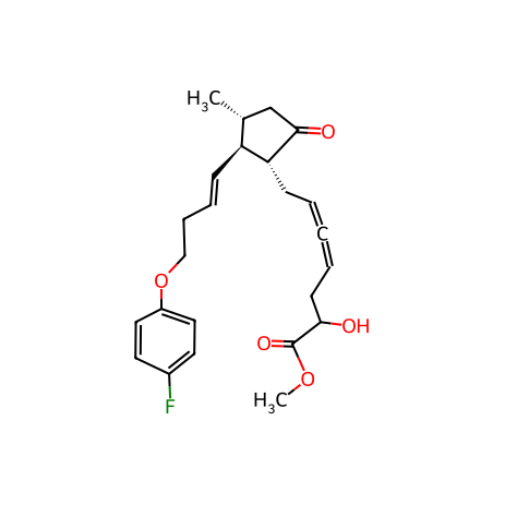 COC(=O)C(O)CC=C=CC[C@H]1C(=O)C[C@@H](C)[C@@H]1/C=C/CCOc1ccc(F)cc1